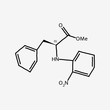 COC(=O)[C@H](Cc1ccccc1)Nc1ccccc1[N+](=O)[O-]